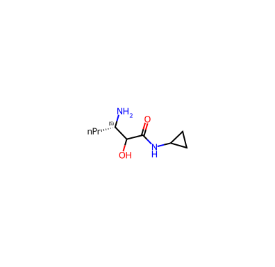 CCC[C@H](N)C(O)C(=O)NC1CC1